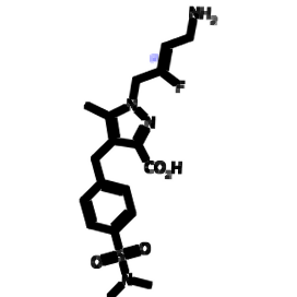 Cc1c(Cc2ccc(S(=O)(=O)N(C)C)cc2)c(C(=O)O)nn1C/C(F)=C/CN